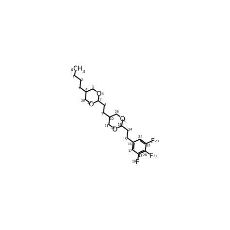 CCCCC1COC(CCC2COC(CCc3cc(F)c(F)c(F)c3)OC2)OC1